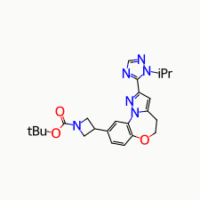 CC(C)n1ncnc1-c1cc2n(n1)-c1cc(C3CN(C(=O)OC(C)(C)C)C3)ccc1OCC2